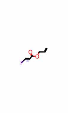 C=CCOC(=O)/C=C/I